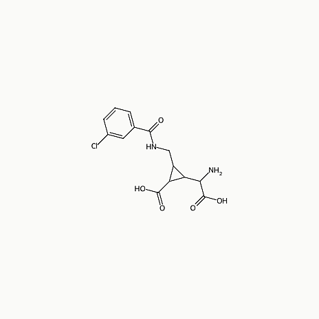 NC(C(=O)O)C1C(CNC(=O)c2cccc(Cl)c2)C1C(=O)O